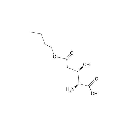 CCCCOC(=O)C[C@@H](O)[C@H](N)C(=O)O